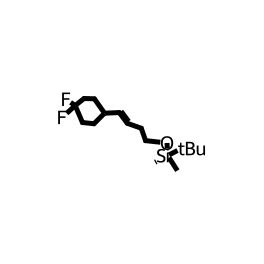 CC(C)(C)[Si](C)(C)OCCC=CC1CCC(F)(F)CC1